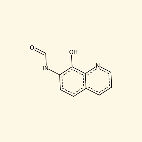 O=CNc1ccc2cccnc2c1O